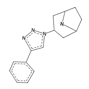 CN1C2CCC1CC(n1cc(-c3ccccc3)nn1)C2